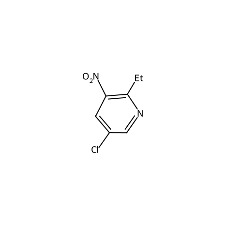 CCc1ncc(Cl)cc1[N+](=O)[O-]